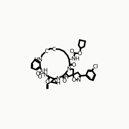 C=C[C@@H]1C[C@@]12NC(=O)[C@@H]1CC3(CC(c4cccc(Cl)c4)=NO3)CN1C(=O)[C@@H](NC(=O)OC1CCCC1)CCCCCCCNc1ccccc1S(=O)(=O)NC2=O